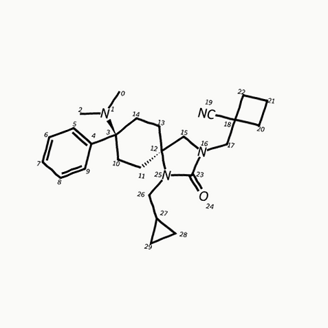 CN(C)[C@]1(c2ccccc2)CC[C@]2(CC1)CN(CC1(C#N)CCC1)C(=O)N2CC1CC1